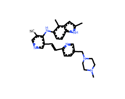 Cc1cc2c(C)c(Nc3c(C#N)cncc3/C=C/c3ccc(CN4CCN(C)CC4)cn3)ccc2[nH]1